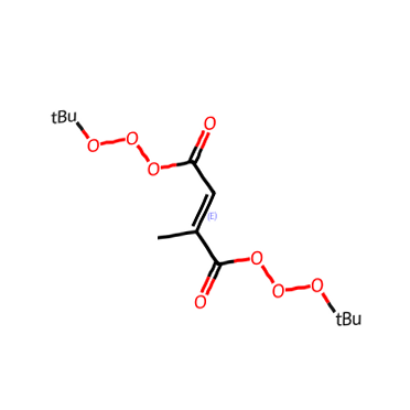 C/C(=C\C(=O)OOOC(C)(C)C)C(=O)OOOC(C)(C)C